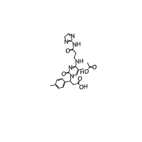 CC(=O)O.Cc1ccc(C(CC(=O)O)n2cc(C)c(NCCC(=O)NC3=NCC=N3)nc2=O)cc1